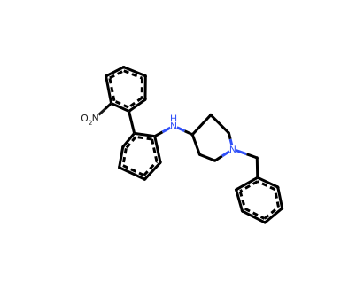 O=[N+]([O-])c1ccccc1-c1ccccc1NC1CCN(Cc2ccccc2)CC1